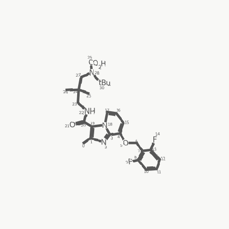 Cc1nc2c(OCc3c(F)cccc3F)cccn2c1C(=O)NCC(C)(C)CN(C(=O)O)C(C)(C)C